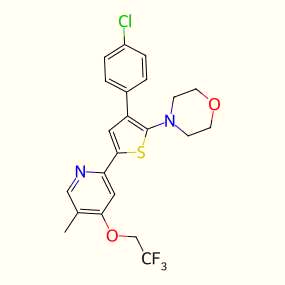 Cc1cnc(-c2cc(-c3ccc(Cl)cc3)c(N3CCOCC3)s2)cc1OCC(F)(F)F